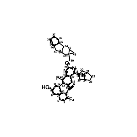 C#Cc1c(F)ccc2cc(O)cc(-c3c(F)cc4c(N5CC6CCC(C5)N6)nc(OCC5(CN6Cc7cccnc7C6)CC5)nc4c3F)c12